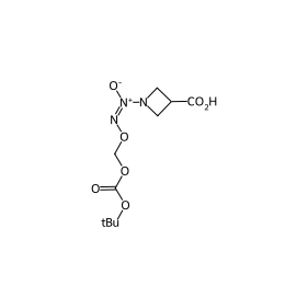 CC(C)(C)OC(=O)OCO/N=[N+](/[O-])N1CC(C(=O)O)C1